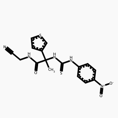 CC(NC(=S)Nc1ccc([N+](=O)[O-])cc1)(C(=O)NCC#N)c1ccsc1